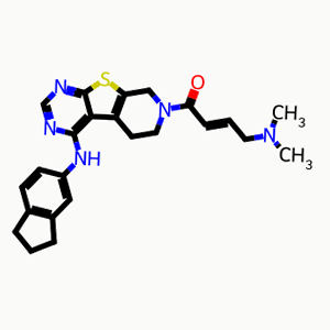 CN(C)C/C=C/C(=O)N1CCc2c(sc3ncnc(Nc4ccc5c(c4)CCC5)c23)C1